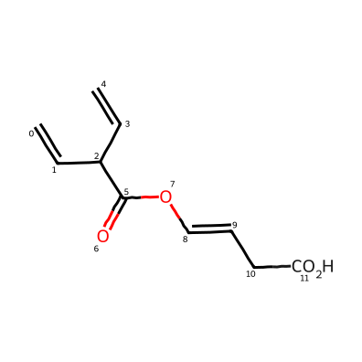 C=CC(C=C)C(=O)OC=CCC(=O)O